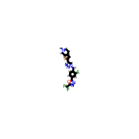 CN1CCc2cc(-c3cn(Cc4ccc(-c5nnc(C(F)F)o5)cc4F)nn3)sc2C1